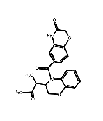 CC(C(=O)O)C1COc2ccccc2N1C(=O)c1ccc2c(c1)NC(=O)CO2